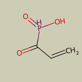 C=CC(=O)[PH](=O)O